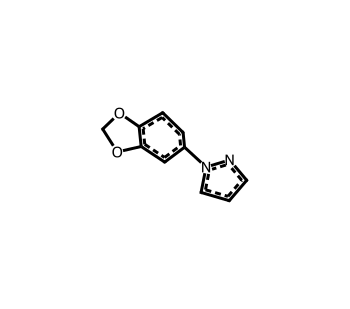 c1cnn(-c2ccc3c(c2)OCO3)c1